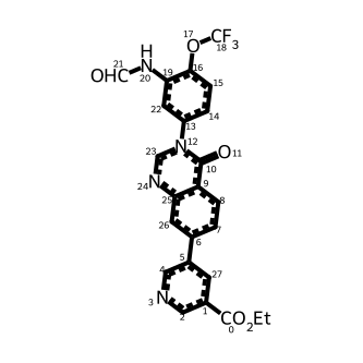 CCOC(=O)c1cncc(-c2ccc3c(=O)n(-c4ccc(OC(F)(F)F)c(NC=O)c4)cnc3c2)c1